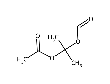 CC(=O)OC(C)(C)OC=O